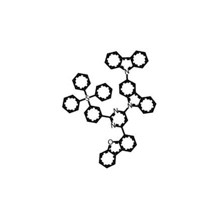 c1ccc(S(c2ccccc2)(c2ccccc2)c2cccc(-c3nc(-c4cccc5c4oc4ccccc45)cc(-n4c5ccccc5c5cc(-n6c7ccccc7c7ccccc76)ccc54)n3)c2)cc1